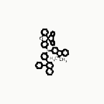 CC1(C)c2ccccc2-c2ccc(N(c3cccc(-c4ccc5ccccc5c4-c4ccccc4)c3)c3ccc4c(c3)C3(c5ccccc5O4)c4ccccc4-c4ccccc43)cc21